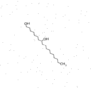 CCCCCCCCCCC(O)CCCCCCCO